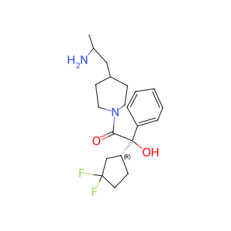 CC(N)CC1CCN(C(=O)C(O)(c2ccccc2)[C@@H]2CCC(F)(F)C2)CC1